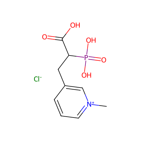 C[n+]1cccc(CC(C(=O)O)P(=O)(O)O)c1.[Cl-]